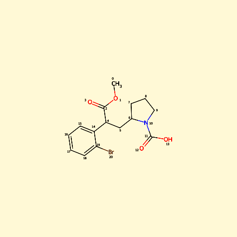 COC(=O)C(CC1CCCN1C(=O)O)c1ccccc1Br